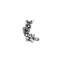 CC(=O)C(OC=O)C1CCC(OS(=O)(=O)c2ccc([N+](=O)[O-])cc2)CN1